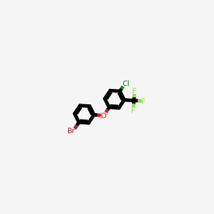 FC(F)(F)c1cc(Oc2cccc(Br)c2)ccc1Cl